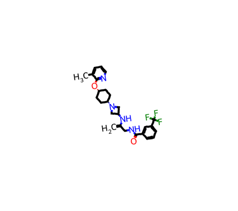 C=C(CNC(=O)c1cccc(C(F)(F)F)c1)NC1CN([C@H]2CC[C@@H](Oc3ncccc3C)CC2)C1